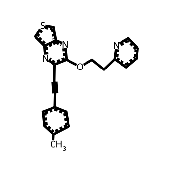 Cc1ccc(C#Cc2nc3cscc3nc2OCCc2ccccn2)cc1